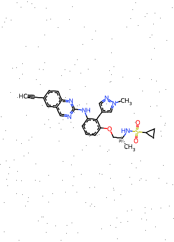 C#Cc1ccc2nc(Nc3cccc(OC[C@@H](C)NS(=O)(=O)C4CC4)c3-c3cnn(C)c3)ncc2c1